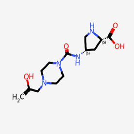 C=C(O)CN1CCN(C(=O)N[C@@H]2CN[C@H](C(=O)O)C2)CC1